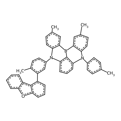 Cc1ccc(N2c3ccc(C)cc3B3c4cc(C)ccc4N(c4ccc(C)c(-c5cccc6oc7ccccc7c56)c4)c4cccc2c43)cc1